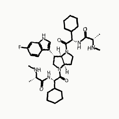 CN[C@@H](C)C(=O)N[C@H](C(=O)N1CC[C@@H]2[C@H]1[C@@H](c1c[nH]c3cc(F)ccc13)CN2C(=O)[C@@H](NC(=O)[C@H](C)NC)C1CCCCC1)C1CCCCC1